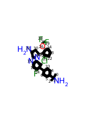 CC(C)(N)c1ccc(-c2cc3c(cc2F)nc2n3[C@@H](c3c(Cl)cccc3OC(F)F)C[C@H]2N)cc1